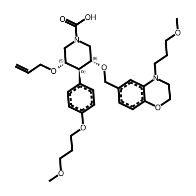 C=CCO[C@@H]1CN(C(=O)O)C[C@H](OCc2ccc3c(c2)N(CCCOC)CCO3)[C@H]1c1ccc(OCCCOC)cc1